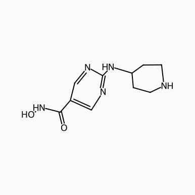 O=C(NO)c1cnc(NC2CCNCC2)nc1